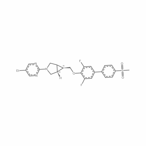 CCc1cnc(N2CC3[C@@H](COc4c(F)cc(-c5ccc(S(C)(=O)=O)cc5)cc4F)[C@@H]3C2)nc1